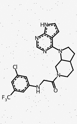 O=C(CNc1cc(Cl)cc(C(F)(F)F)c1)N1CCC2CCN(c3ncnc4[nH]ccc34)C2C1